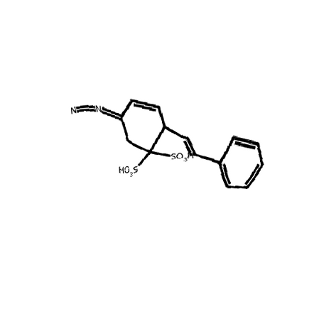 [N-]=[N+]=C1C=CC(C=Cc2ccccc2)C(S(=O)(=O)O)(S(=O)(=O)O)C1